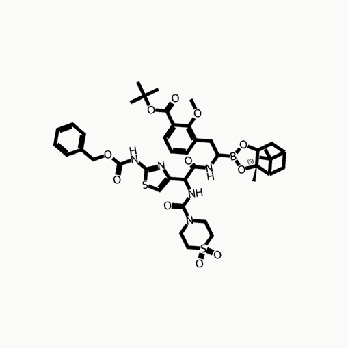 COc1c(CC(NC(=O)C(NC(=O)N2CCS(=O)(=O)CC2)c2csc(NC(=O)OCc3ccccc3)n2)B2OC3CC4CC(C4(C)C)[C@]3(C)O2)cccc1C(=O)OC(C)(C)C